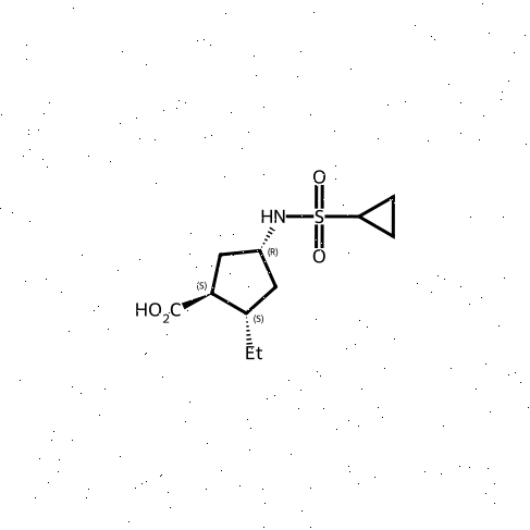 CC[C@H]1C[C@@H](NS(=O)(=O)C2CC2)C[C@@H]1C(=O)O